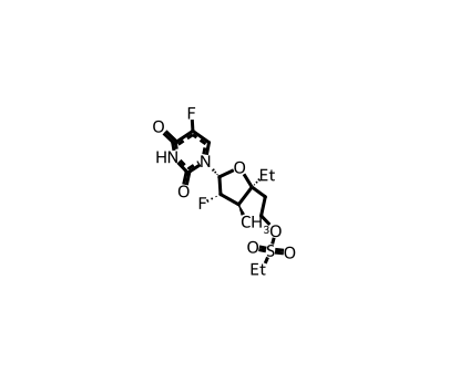 CC[C@@]1(CCOS(=O)(=O)CC)O[C@@H](n2cc(F)c(=O)[nH]c2=O)[C@@H](F)[C@@H]1C